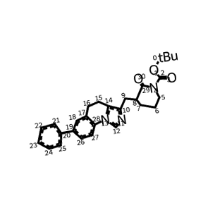 CC(C)(C)OC(=O)N1CCCC(Cc2ncn3c2CCc2cc(-c4ccccc4)ccc2-3)C1=O